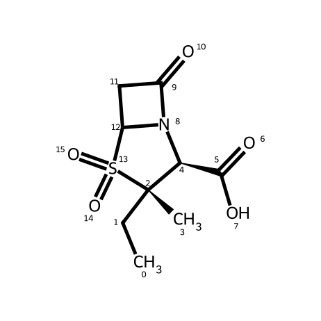 CC[C@@]1(C)[C@H](C(=O)O)N2C(=O)CC2S1(=O)=O